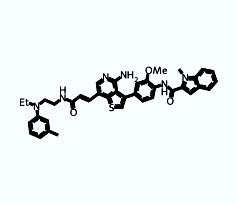 CCN(CCNC(=O)/C=C/c1cnc(N)c2c(-c3ccc(NC(=O)c4cc5ccccc5n4C)c(OC)c3)csc12)c1cccc(C)c1